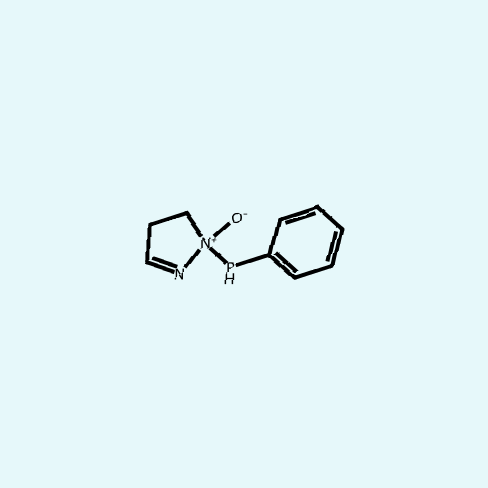 [O-][N+]1(Pc2ccccc2)CCC=N1